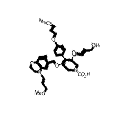 COCCCOc1ccc([C@@H]2[C@@H](OCc3ccc4c(c3)N(CCCOC)CCO4)CN(C(=O)O)C[C@H]2OCCCO)cc1